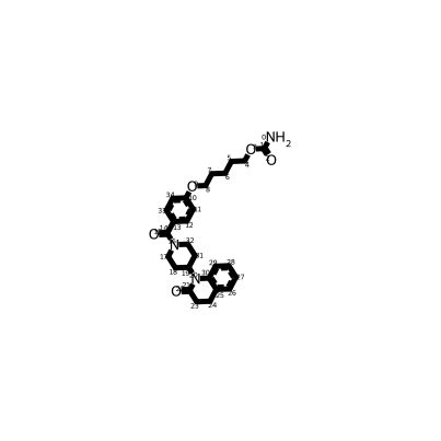 NC(=O)OCCCCCOc1ccc(C(=O)N2CCC(N3C(=O)CCc4ccccc43)CC2)cc1